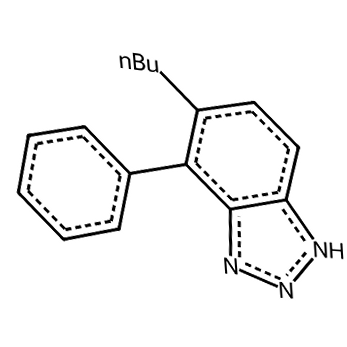 CCCCc1ccc2[nH]nnc2c1-c1ccccc1